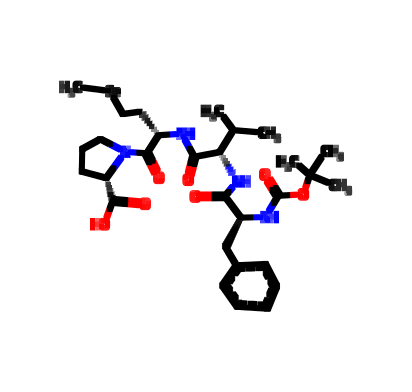 C[Se]CC[C@H](NC(=O)[C@@H](NC(=O)[C@H](Cc1ccccc1)NC(=O)OC(C)(C)C)C(C)C)C(=O)N1CCC[C@H]1C(=O)O